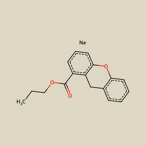 CCCOC(=O)c1cccc2c1Cc1ccccc1O2.[Na]